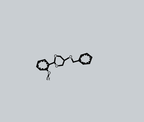 CCOc1ccccc1C1OCC(OCc2ccccc2)CO1